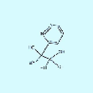 CCCC(O)(c1cccnn1)C(O)(O)O